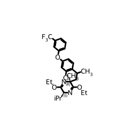 CCOC1=N[C@](C)(CC(C)c2ccc(Oc3cccc(C(F)(F)F)c3)cc2Cl)C(OCC)=N[C@H]1C(C)C